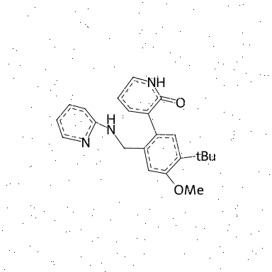 COc1cc(CNc2ccccn2)c(-c2ccc[nH]c2=O)cc1C(C)(C)C